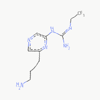 NCCCc1cncc(N/C(N)=N\CC(F)(F)F)n1